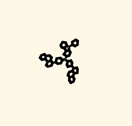 c1ccc(-n2c3ccccc3c3cc(N(c4ccc(-c5cccc6c5ccc5ccccc56)cc4)c4ccc(-c5cccc6c5ccc5ccccc56)cc4)ccc32)cc1